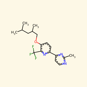 Cc1nccc(-c2ccc(OCC(C)CC(C)C)c(C(F)(F)F)n2)n1